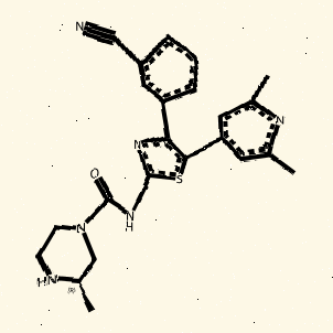 Cc1cc(-c2sc(NC(=O)N3CCN[C@H](C)C3)nc2-c2cccc(C#N)c2)cc(C)n1